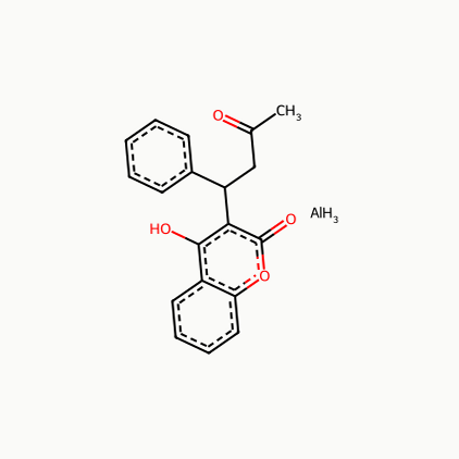 CC(=O)CC(c1ccccc1)c1c(O)c2ccccc2oc1=O.[AlH3]